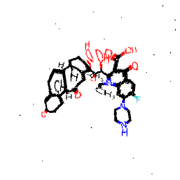 CCn1c(C(O)C(=O)[C@@]2(O)CC[C@H]3[C@@H]4CCC5=CC(=O)CC[C@]5(C)[C@H]4C(=O)C[C@@]32C)c(C(=O)O)c(=O)c2cc(F)c(N3CCNCC3)cc21